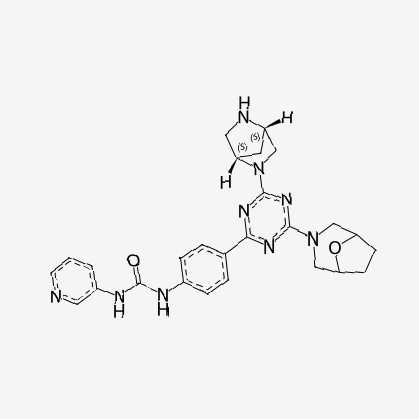 O=C(Nc1ccc(-c2nc(N3CC4CCC(C3)O4)nc(N3C[C@@H]4C[C@H]3CN4)n2)cc1)Nc1cccnc1